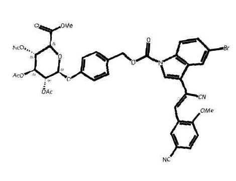 COC(=O)[C@H]1O[C@@H](Oc2ccc(COC(=O)n3cc(/C(C#N)=C/c4cc(C#N)ccc4OC)c4cc(Br)ccc43)cc2)[C@H](OC(C)=O)[C@@H](OC(C)=O)[C@@H]1OC(C)=O